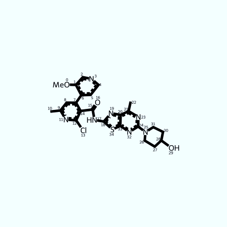 COc1cnccc1-c1cc(C)nc(Cl)c1C(=O)Nc1nc2c(C)nc(N3CCC(O)CC3)nc2s1